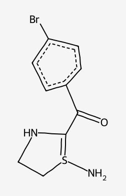 NS1=C(C(=O)c2ccc(Br)cc2)NCC1